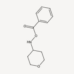 O=C(ONC1CCOCC1)c1ccccc1